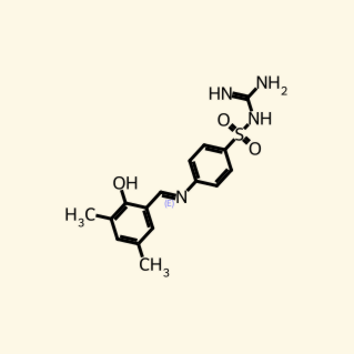 Cc1cc(C)c(O)c(/C=N/c2ccc(S(=O)(=O)NC(=N)N)cc2)c1